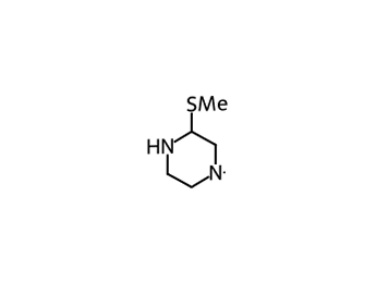 CSC1C[N]CCN1